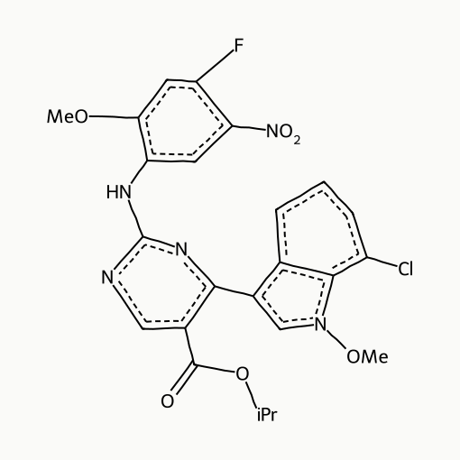 COc1cc(F)c([N+](=O)[O-])cc1Nc1ncc(C(=O)OC(C)C)c(-c2cn(OC)c3c(Cl)cccc23)n1